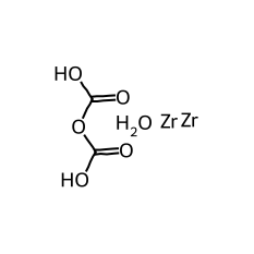 O.O=C(O)OC(=O)O.[Zr].[Zr]